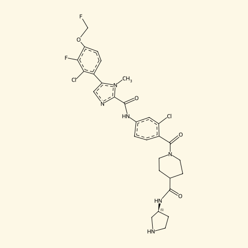 Cn1c(-c2ccc(OCF)c(F)c2Cl)cnc1C(=O)Nc1ccc(C(=O)N2CCC(C(=O)N[C@H]3CCNC3)CC2)c(Cl)c1